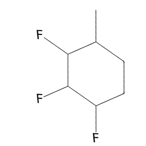 CC1CCC(F)C(F)C1F